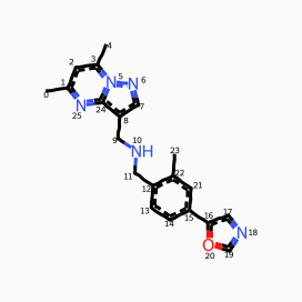 Cc1cc(C)n2ncc(CNCc3ccc(-c4cnco4)cc3C)c2n1